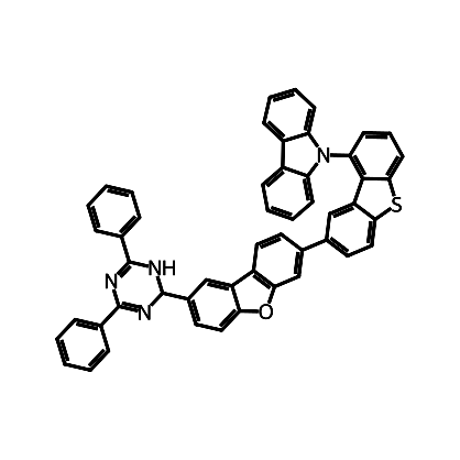 c1ccc(C2=NC(c3ccc4oc5cc(-c6ccc7sc8cccc(-n9c%10ccccc%10c%10ccccc%109)c8c7c6)ccc5c4c3)NC(c3ccccc3)=N2)cc1